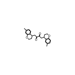 Cc1ccc2c(c1)OCCC2CC(=O)C(=O)CC1CCOc2ccc(C)cc21